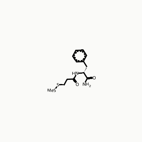 CSSCCC(=O)N[C@H](Cc1ccccc1)C(N)=O